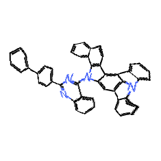 c1ccc(-c2ccc(-c3nc(-n4c5cc6c7ccccc7n7c8ccccc8c(c5c5ccc8ccccc8c54)c67)c4ccccc4n3)cc2)cc1